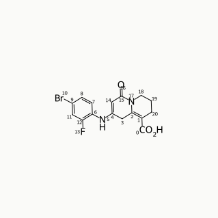 O=C(O)C1=C2CC(Nc3ccc(Br)cc3F)=CC(=O)N2CCC1